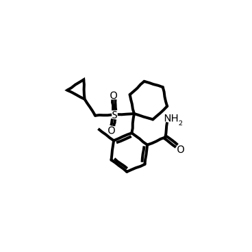 Cc1cccc(C(N)=O)c1C1(S(=O)(=O)CC2CC2)CCCCC1